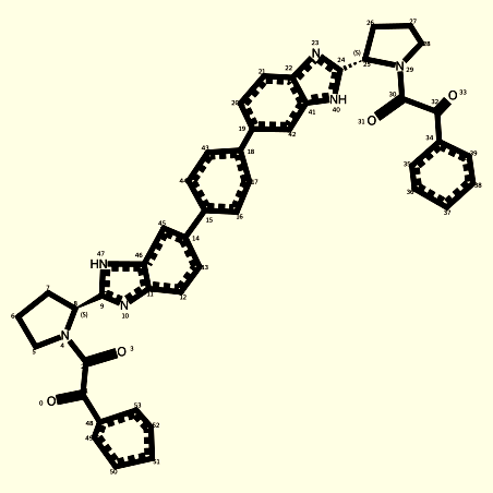 O=C(C(=O)N1CCC[C@H]1c1nc2ccc(-c3ccc(-c4ccc5nc([C@@H]6CCCN6C(=O)C(=O)c6ccccc6)[nH]c5c4)cc3)cc2[nH]1)c1ccccc1